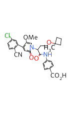 COc1cn(C(CCOC2(C)CCC2)C(=O)Nc2ccc(C(=O)O)cc2)c(=O)cc1-c1cc(Cl)ccc1C#N